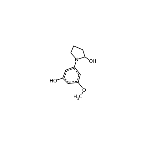 COc1cc(O)cc(N2CCCC2O)c1